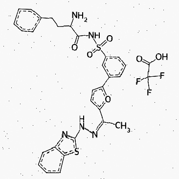 CC(=NNc1nc2ccccc2s1)c1ccc(-c2cccc(S(=O)(=O)NC(=O)C(N)CCc3ccccc3)c2)o1.O=C(O)C(F)(F)F